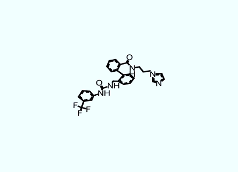 O=C(NCc1ccccc1-c1ccccc1C(=O)NCCCn1ccnc1)Nc1cccc(C(F)(F)F)c1